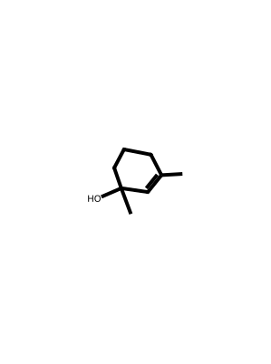 CC1=CC(C)(O)CCC1